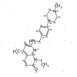 CCn1c(=O)ccc2c(C)nc(NCc3ccc(N4CCN(C)CC4)cc3)nc21